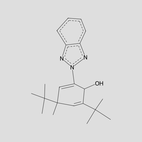 CC(C)(C)C1=CC(C)(C(C)(C)C)C=C(n2nc3ccccc3n2)C1O